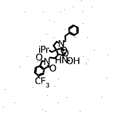 CC(C)CC1(C(CCN2C(=O)c3ccc(C(F)(F)F)cc3C2=O)C(=O)NO)CCN(CCc2ccccc2)C1=O